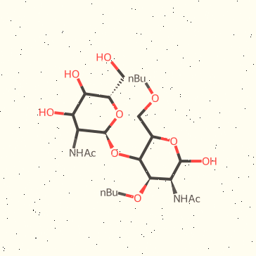 CCCCOCC1OC(O)[C@@H](NC(C)=O)[C@@H](OCCCC)C1O[C@@H]1O[C@@H](CO)C(O)C(O)C1NC(C)=O